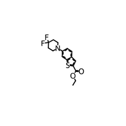 CCOC(=O)c1cc2ccc(N3CCC(F)(F)CC3)cc2s1